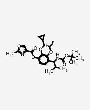 Cc1nc(C(=O)Oc2ccc(C(NC(=O)OC(C)(C)C)C(C)C)c(OC(F)F)c2OCC2CC2)co1